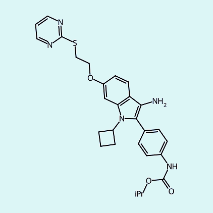 CC(C)OC(=O)Nc1ccc(-c2c(N)c3ccc(OCCSc4ncccn4)cc3n2C2CCC2)cc1